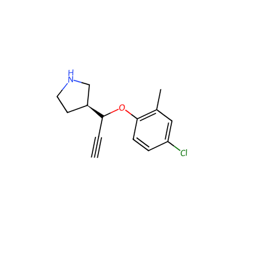 C#CC(Oc1ccc(Cl)cc1C)[C@H]1CCNC1